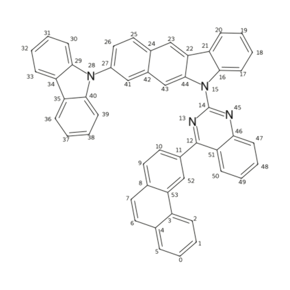 c1ccc2c(c1)ccc1ccc(-c3nc(-n4c5ccccc5c5cc6ccc(-n7c8ccccc8c8ccccc87)cc6cc54)nc4ccccc34)cc12